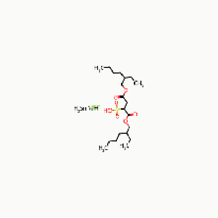 CCCCC(CC)COC(=O)CC(C(=O)OCC(CC)CCCC)S(=O)(=O)O.F.F.[NaH].[SnH2]